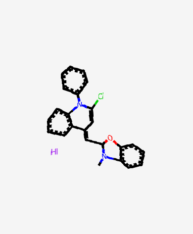 CN1c2ccccc2OC1C=C1C=C(Cl)N(c2ccccc2)c2ccccc21.I